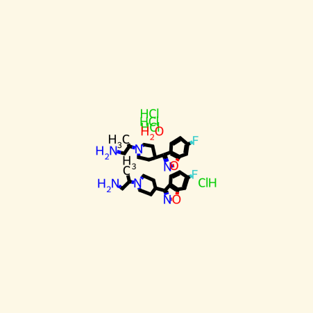 CC(CN)N1CCC(c2noc3cc(F)ccc23)CC1.CC(CN)N1CCC(c2noc3cc(F)ccc23)CC1.Cl.Cl.Cl.Cl.O